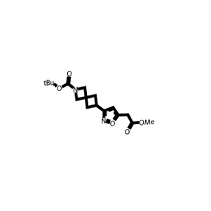 COC(=O)Cc1cc(C2CC3(C2)CN(C(=O)OC(C)(C)C)C3)no1